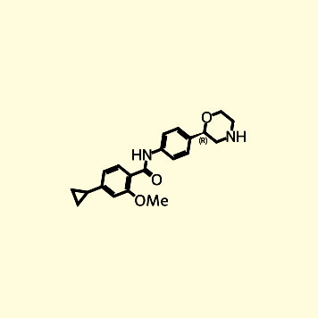 COc1cc(C2CC2)ccc1C(=O)Nc1ccc([C@@H]2CNCCO2)cc1